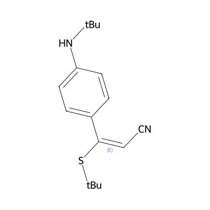 CC(C)(C)Nc1ccc(/C(=C\C#N)SC(C)(C)C)cc1